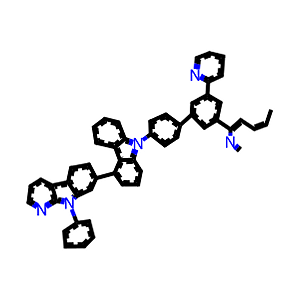 C=N/C(=C\C=C/C)c1cc(-c2ccc(-n3c4ccccc4c4c(-c5ccc6c7cccnc7n(-c7ccccc7)c6c5)cccc43)cc2)cc(-c2ccccn2)c1